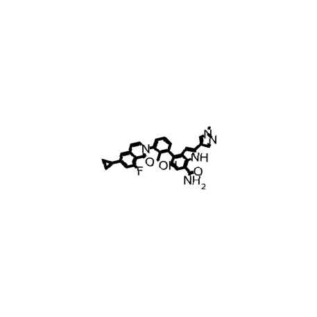 Cn1cc(-c2cc3c(-c4cccc(-n5ccc6cc(C7CC7)cc(F)c6c5=O)c4CO)ccc(C(N)=O)c3[nH]2)cn1